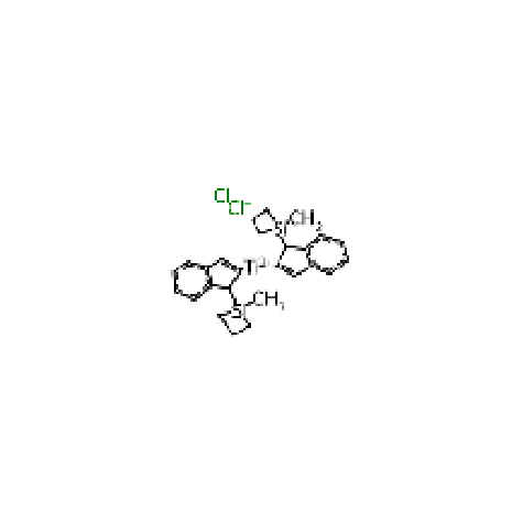 C[Si]1(C2[C]([Ti+2][C]3=Cc4ccccc4C3[Si]3(C)CCC3)=Cc3ccccc32)CCC1.[Cl-].[Cl-]